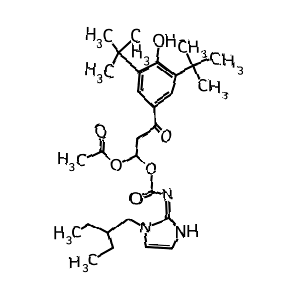 CCC(CC)Cn1cc[nH]c1=NC(=O)OC(CC(=O)c1cc(C(C)(C)C)c(O)c(C(C)(C)C)c1)OC(C)=O